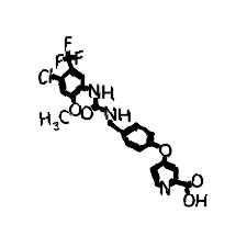 COc1cc(Cl)c(C(F)(F)F)cc1NC(=O)NCc1ccc(Oc2ccnc(C(=O)O)c2)cc1